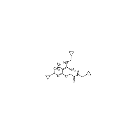 C=C(/N=C(OCC(=O)NCC1CC1)\C(C)=C(/N)NCC1CC1)C1CC1